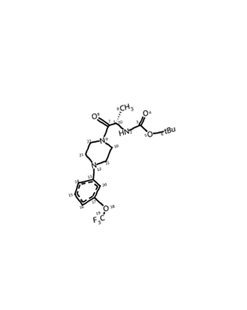 C[C@H](NC(=O)OC(C)(C)C)C(=O)N1CCN(c2cccc(OC(F)(F)F)c2)CC1